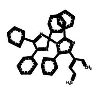 C=C/C=C(\C=C)c1nc(-c2ccccc2)n(C2(c3ccccc3)N=C(c3ccccc3)C(c3ccccc3)=N2)c1-c1ccccc1